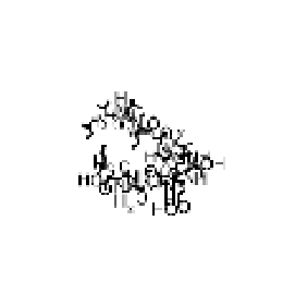 CCCC(C)(I)SC(CC(=O)N[C@@H](CN)C(=O)NC[C@H](NC(=O)[C@H](CCC(=O)O)NC(=O)[C@@H](NC(=O)[C@H](C)C(OC)[C@@H]1CCCN1C(=O)C[C@@H](OC)[C@H]([C@@H](C)CC)N(C)C(=O)[C@@H](NC(=O)[C@H](C(C)C)N(C)CC(C)CC)C(C)C)C(C)O)C(=O)O)C(=O)O